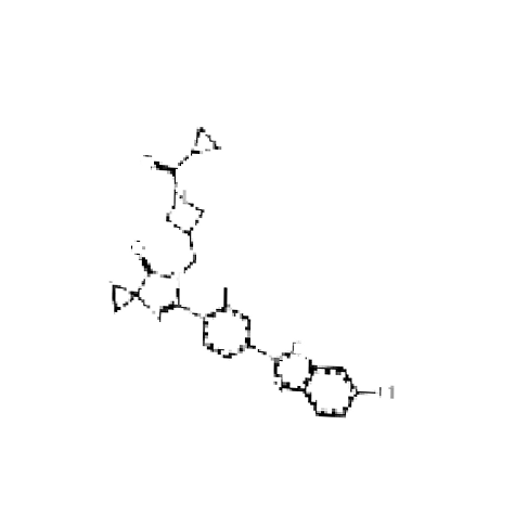 O=C(C1CC1)N1CC(CN2C(=O)C3(CC3)N=C2c2ccc(-c3nc4ccc(Cl)cc4o3)cc2F)C1